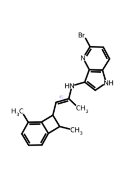 C/C(=C\C1c2c(C)cccc2C1C)Nc1c[nH]c2ccc(Br)nc12